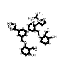 CC(C)n1nccc1-c1ncccc1COc1cccc(O)c1C=O.O=Cc1c(O)cccc1OCc1cccc(-c2nn[nH]n2)c1